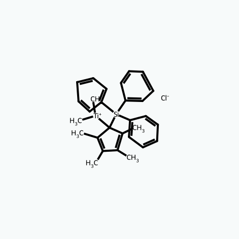 CC1=C(C)[C]([Ti+]([CH3])[CH3])([Si](c2ccccc2)(c2ccccc2)c2ccccc2)C(C)=C1C.[Cl-]